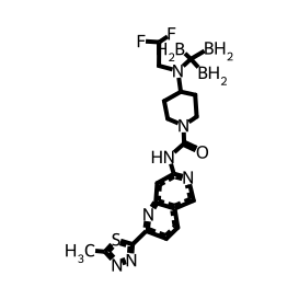 BC(B)(B)N(CC(F)F)C1CCN(C(=O)Nc2cc3nc(-c4nnc(C)s4)ccc3cn2)CC1